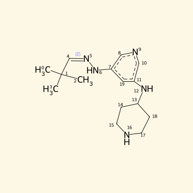 CC(C)(C)/C=N\Nc1cncc(NC2CCNCC2)c1